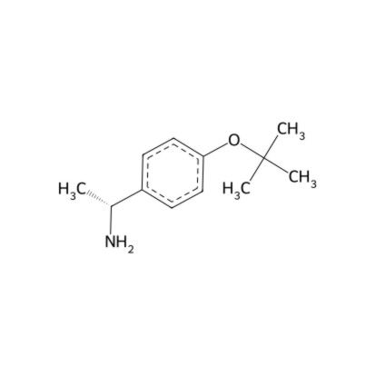 C[C@@H](N)c1ccc(OC(C)(C)C)cc1